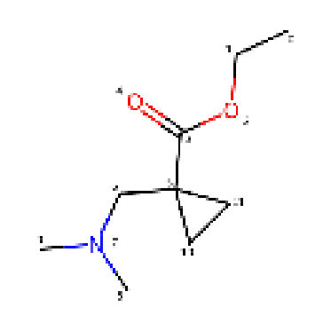 CCOC(=O)C1(CN(C)C)CC1